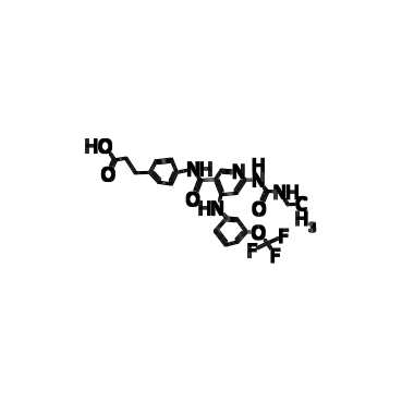 CCNC(=O)Nc1cc(Nc2cccc(OC(F)(F)F)c2)c(C(=O)Nc2ccc(CCC(=O)O)cc2)cn1